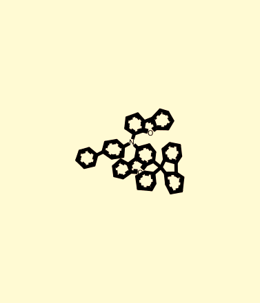 c1ccc(-c2ccc(N(c3cccc4c3oc3ccccc34)c3ccc(C4(c5ccccc5)c5ccccc5-c5ccccc54)c4oc5ccccc5c34)cc2)cc1